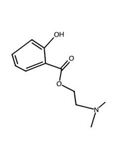 CN(C)CCOC(=O)c1ccccc1O